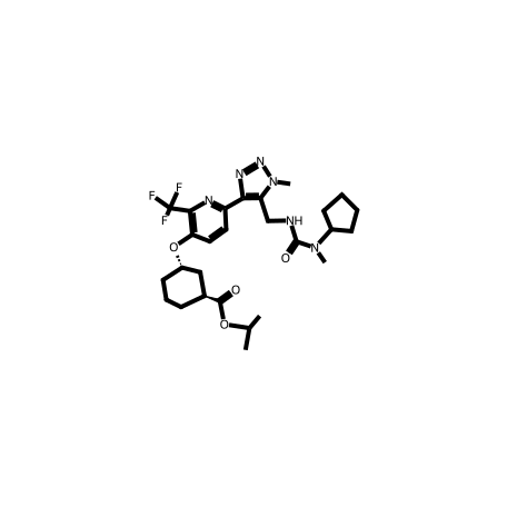 CC(C)OC(=O)[C@H]1CCC[C@H](Oc2ccc(-c3nnn(C)c3CNC(=O)N(C)C3CCCC3)nc2C(F)(F)F)C1